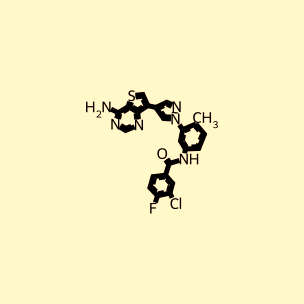 Cc1ccc(NC(=O)c2ccc(F)c(Cl)c2)cc1-n1cc(-c2csc3c(N)ncnc23)cn1